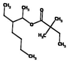 CCCCC(CC)C(C)OC(=O)C(C)(C)CC